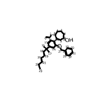 C=CC[C@@H]1CCC[C@@H](O)C[C@H]1c1ccc(C(C)(C)CCCCCC)cc1OCc1ccccc1